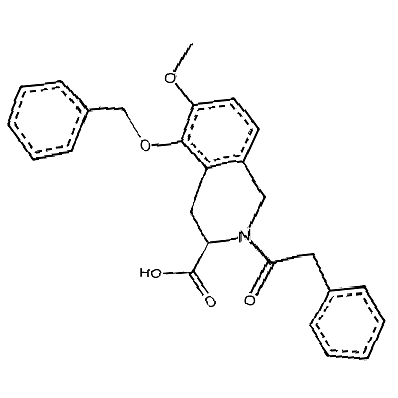 COc1ccc2c(c1OCc1ccccc1)CC(C(=O)O)N(C(=O)Cc1ccccc1)C2